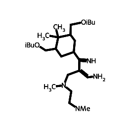 CNCCN(C)C/C(=C/N)C(=N)C1CC(COCC(C)C)C(C)(C)C(COCC(C)C)C1